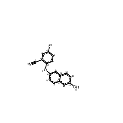 N#Cc1cc(F)ccc1Oc1ccc2cc(O)ccc2c1